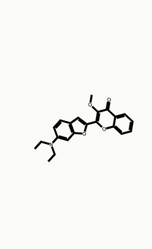 CCN(CC)c1ccc2cc(-c3oc4ccccc4c(=O)c3OC)oc2c1